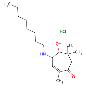 CCCCCCCCNC1C=C(C)C(=O)CC(C)(C)C1O.Cl